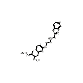 CO/N=C(\C)C(Cc1cccc(OCCNCc2nc3ccccc3o2)c1)C(=O)O